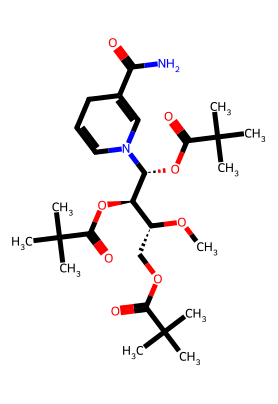 CO[C@H](COC(=O)C(C)(C)C)[C@@H](OC(=O)C(C)(C)C)[C@@H](OC(=O)C(C)(C)C)N1C=CCC(C(N)=O)=C1